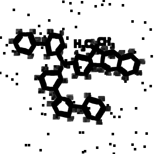 CC1(C)c2cc(N(c3cccc(-c4ccccc4)c3)c3cccc(-c4cccc(-c5ccccc5)c4)c3)ccc2-c2cc3ccccc3cc21